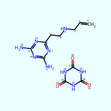 C=CCNCCc1nc(N)nc(N)n1.O=c1[nH]c(=O)[nH]c(=O)[nH]1